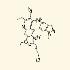 CCOc1cc2nc(CC)c(C#N)c(Nc3ccc4c(cnn4C)c3)c2cc1NC(=O)/C=C/CCl